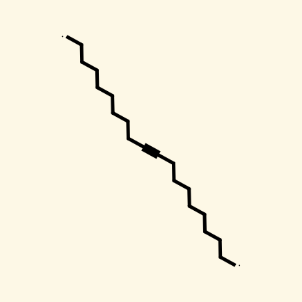 [CH2]CCCCCCCCC#CCCCCCCCC[CH2]